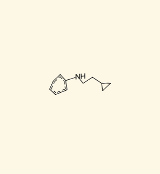 c1ccc(NCCC2CC2)cc1